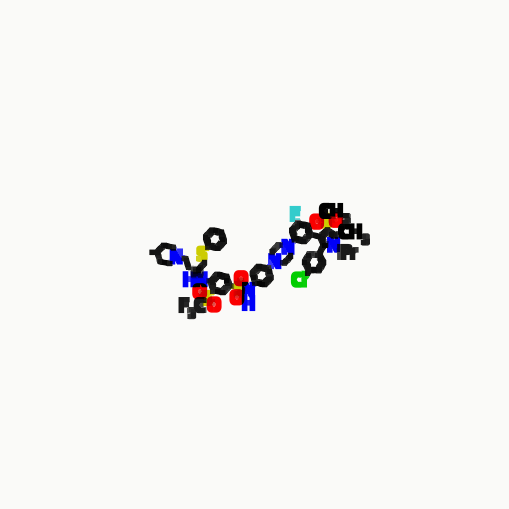 Cc1c(S(C)(=O)=O)c(-c2cc(F)cc(N3CCN(c4ccc(NS(=O)(=O)c5ccc(N[C@H](CCN6CC[CH]CC6)CSc6ccccc6)c(S(=O)(=O)C(F)(F)F)c5)cc4)CC3)c2)c(-c2ccc(Cl)cc2)n1C(C)C